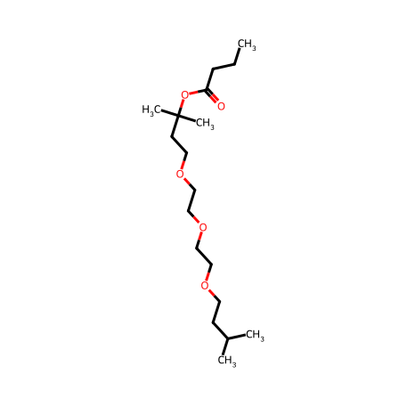 CCCC(=O)OC(C)(C)CCOCCOCCOCCC(C)C